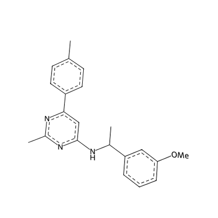 COc1cccc(C(C)Nc2cc(-c3ccc(C)cc3)nc(C)n2)c1